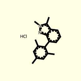 Cc1cc(C)c(-c2cccc3c(C)n(C)nc23)c(C)c1.Cl